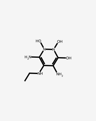 CCNC1=C(N)N(O)N(O)C(O)=C1N